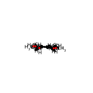 COC(=O)N[C@H](C(=O)N1[C@@H]2C[C@@H]2C[C@H]1c1nc2c([nH]1)CCc1cc(C#Cc3ccc4nc([C@@H]5C[C@H]6C[C@H]6N5C(=O)[C@@H](NC(=O)OC)C(C)C)[nH]c4c3)ccc1-2)C(C)C